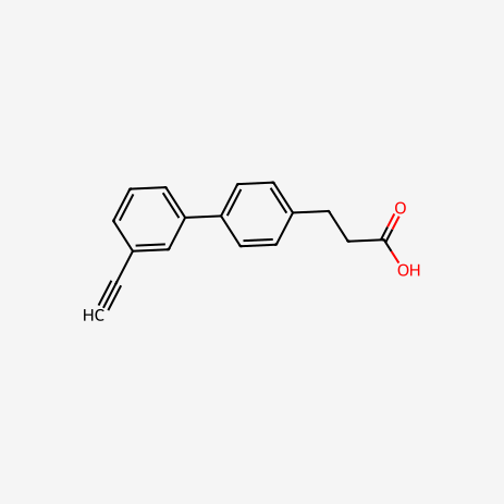 C#Cc1cccc(-c2ccc(CCC(=O)O)cc2)c1